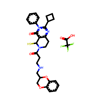 O=C(CCNCC1COc2ccccc2O1)N1CCc2nc(C3CCC3)n(-c3ccccc3)c(=O)c2C1S.O=C(O)C(F)(F)F